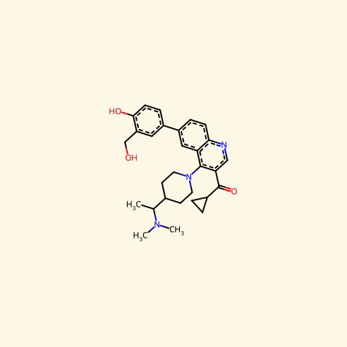 CC(C1CCN(c2c(C(=O)C3CC3)cnc3ccc(-c4ccc(O)c(CO)c4)cc23)CC1)N(C)C